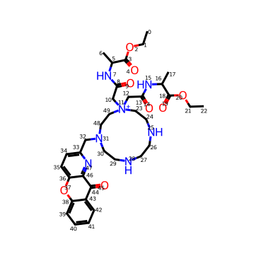 CCOC(=O)C(C)NC(=O)C[N+]1(CC(=O)NC(C)C(=O)OCC)CCNCCNCCN(Cc2ccc3oc4ccccc4c(=O)c3n2)CC1